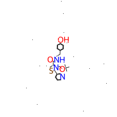 CC(C)(C)OCN1C(C(=O)NCCc2ccc(O)cc2)CSC1c1cccnc1